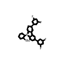 CC(C)(C)c1ccccc1-n1c2ccc(-c3cc(F)cc(F)c3)cc2c2cc(-c3cc(F)cc(F)c3)ccc21